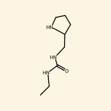 CCNC(=O)NCC1CCCN1